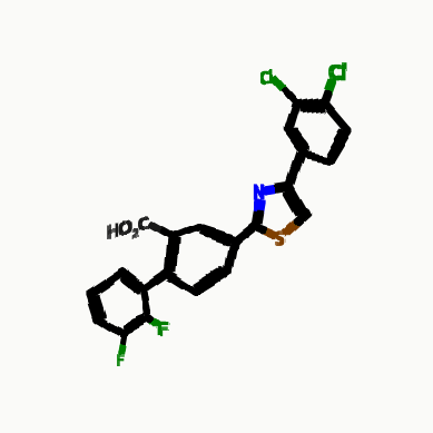 O=C(O)c1cc(-c2nc(-c3ccc(Cl)c(Cl)c3)cs2)ccc1-c1cccc(F)c1F